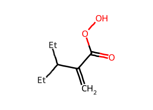 C=C(C(=O)OO)C(CC)CC